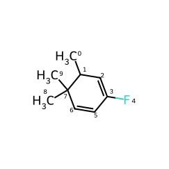 CC1C=C(F)C=CC1(C)C